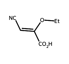 CCO/C(=C\C#N)C(=O)O